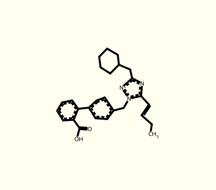 CCC=Cc1nc(CC2CCCCC2)nn1Cc1ccc(-c2ccccc2C(=O)O)cc1